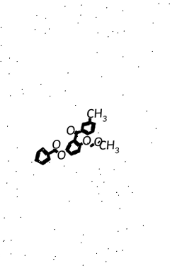 COCOc1ccc(OC(=O)c2ccccc2)cc1C(=O)c1cccc(C)c1